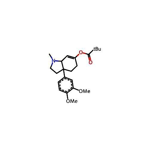 COc1ccc(C23CCC(OC(=O)C(C)(C)C)=CC2N(C)CC3)cc1OC